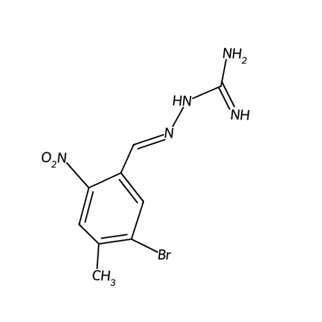 Cc1cc([N+](=O)[O-])c(/C=N/NC(=N)N)cc1Br